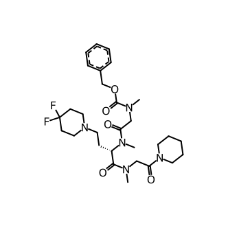 CN(CC(=O)N(C)[C@@H](CCN1CCC(F)(F)CC1)C(=O)N(C)CC(=O)N1CCCCC1)C(=O)OCc1ccccc1